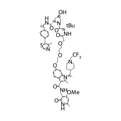 COc1cc(C)[nH]c(=O)c1CNC(=O)c1c(C)n([C@@H](C)C2CCN(CC(F)(F)F)CC2)c2cc(OCCOCCOCC(=O)N[C@H](C(=O)N3C[C@H](O)C[C@H]3C(=O)N[C@@H](C)c3ccc(-c4scnc4C)cc3)C(C)(C)C)ccc12